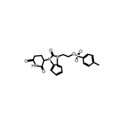 Cc1ccc(S(=O)(=O)OCCn2c(=O)n(C3CCC(=O)NC3=O)c3ccccc32)cc1